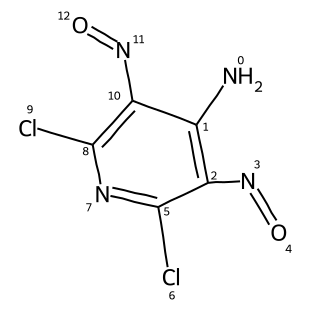 Nc1c(N=O)c(Cl)nc(Cl)c1N=O